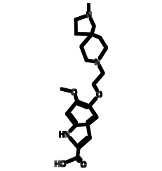 COc1cc2[nH]c(C(=O)O)cc2cc1OCCN1CCC2(CCN(C)C2)CC1